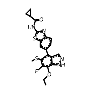 CCOc1c(F)c(SC)c(-c2ccc3nc(NC(=O)C4CC4)sc3c2)c2cn[nH]c12